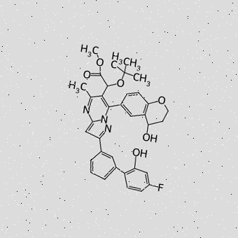 COC(=O)C(OC(C)(C)C)c1c(C)nc2cc(-c3cccc(-c4ccc(F)cc4O)c3)nn2c1-c1ccc2c(c1)C(O)CCO2